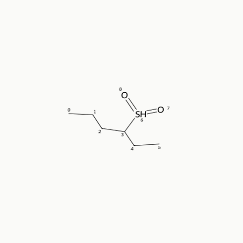 CCCC(CC)[SH](=O)=O